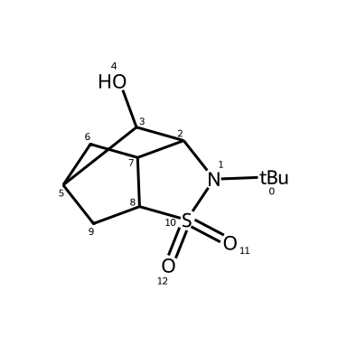 CC(C)(C)N1C2C(O)C3CC2C(C3)S1(=O)=O